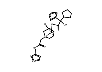 O=C(C[N+]12CCC(CC1)[C@@H](OC(=O)C(O)(c1cccs1)C1CCCC1)C2)Nc1ccon1